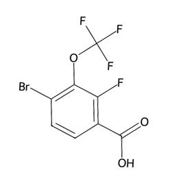 O=C(O)c1ccc(Br)c(OC(F)(F)F)c1F